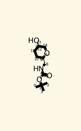 CC(C)(C)OC(=O)NC[C@@H]1CC[C@H](O)CO1